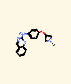 CC(=O)N1CC(Oc2ccc(Nc3ncc4ccccc4n3)cc2)C1